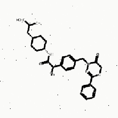 CC(C[C@H]1CC[C@H](NC(=O)C(c2ccc(CN3N=C(c4ccccc4)OCC3=O)cc2)C(C)C)CC1)C(=O)O